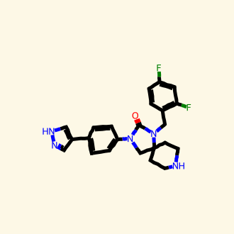 O=C1N(c2ccc(-c3cn[nH]c3)cc2)CC2(CCNCC2)N1Cc1ccc(F)cc1F